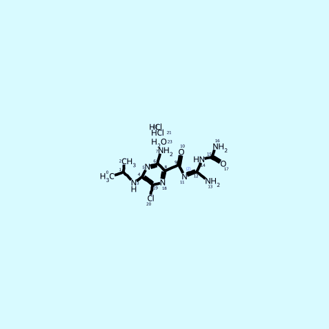 CC(C)Nc1nc(N)c(C(=O)/N=C(/N)NC(N)=O)nc1Cl.Cl.Cl.O